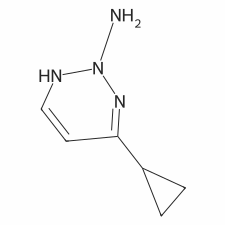 NN1N=C(C2CC2)C=CN1